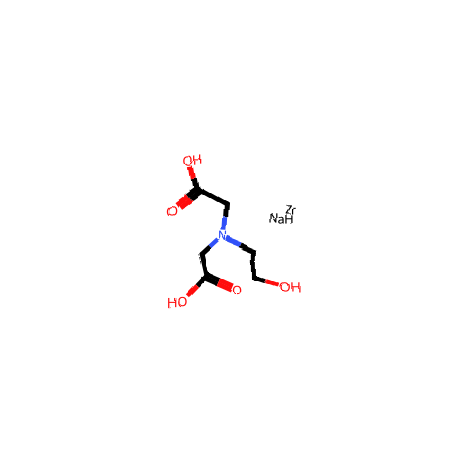 O=C(O)CN(CCO)CC(=O)O.[NaH].[Zr]